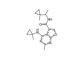 Cc1nc(NC2(C)CC2)c2c(C(=O)NC(C)C3(C)CC3)coc2n1